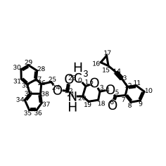 CC1OC(OC(=O)c2ccccc2C#CC2CC2)CCC1NC(=O)OCC1c2ccccc2-c2ccccc21